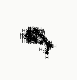 N[C@@H](Cc1c[nH]cn1)C(=O)CCC(=O)[C@H](Cc1c[nH]cn1)NCC(=O)[C@H](Cc1c[nH]cn1)NC(=O)c1ccc2[nH]c(C(O)[C@@H](O)[C@H](O[C@H]3OC(CO)[C@@H](O[C@H]4OC(CO)[C@@H](O[C@H]5OC(CO)[C@@H](O[C@H]6OC(CO)[C@@H](O[C@H]7OC(CO)[C@@H](O)C(O)[C@@H]7O)C(O)[C@@H]6O)C(O)[C@@H]5O)C(O)[C@@H]4O)C(O)[C@@H]3O)C(O)CO)nc2c1